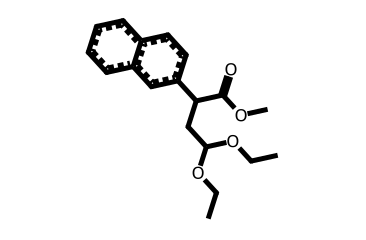 CCOC(CC(C(=O)OC)c1ccc2ccccc2c1)OCC